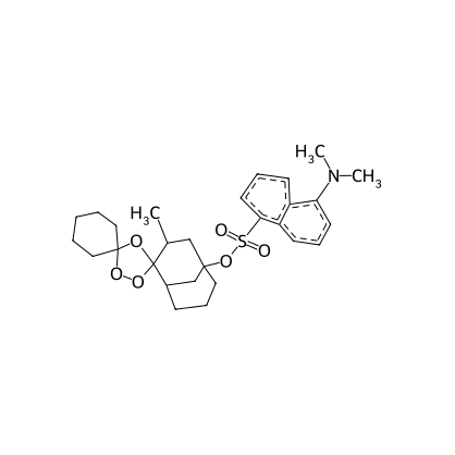 CC1CC2(OS(=O)(=O)c3cccc4c(N(C)C)cccc34)CCCC(C2)C12OOC1(CCCCC1)O2